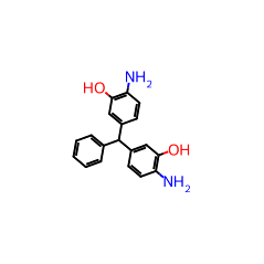 Nc1ccc(C(c2ccccc2)c2ccc(N)c(O)c2)cc1O